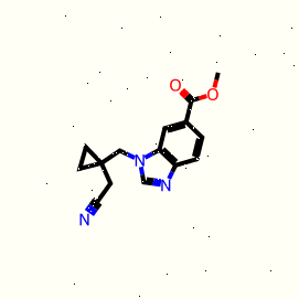 COC(=O)c1ccc2ncn(CC3(CC#N)CC3)c2c1